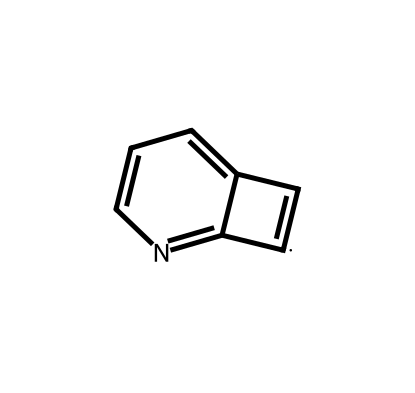 [C]1=Cc2cccnc21